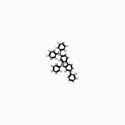 c1ccc(-c2ccc3c4ccc(N(c5ccccc5)c5ccccc5)cc4n(-c4ccccc4)c3c2)cc1